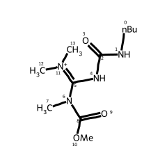 CCCCNC(=O)NC(N(C)C(=O)OC)=[N+](C)C